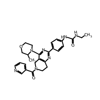 CCNC(=O)Nc1ccc(-c2nc3c(c(N4CCOCC4C)n2)CN(C(=O)c2cccnc2)CC3)cc1